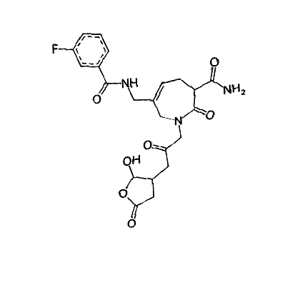 NC(=O)C1CC=C(CNC(=O)c2cccc(F)c2)CN(CC(=O)CC2CC(=O)OC2O)C1=O